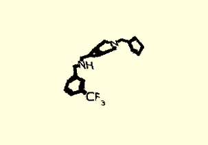 FC(F)(F)c1cccc(CNCC2C3CN(CC4CCCC4)CC23)c1